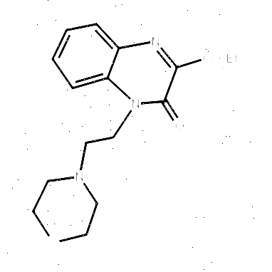 CCOC(=O)c1nc2ccccc2n(CCN2CCOCC2)c1=O